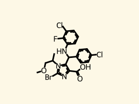 COCC(C)n1c(Br)nc(C(=O)O)c1C(Nc1cccc(Cl)c1F)c1ccc(Cl)cc1